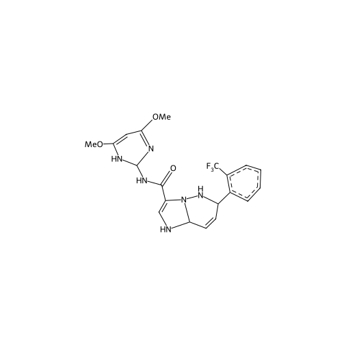 COC1=CC(OC)=NC(NC(=O)C2=CNC3C=CC(c4ccccc4C(F)(F)F)NN23)N1